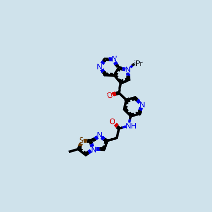 Cc1cn2cc(CC(=O)Nc3cncc(C(=O)c4cn(C(C)C)c5ncncc45)c3)nc2s1